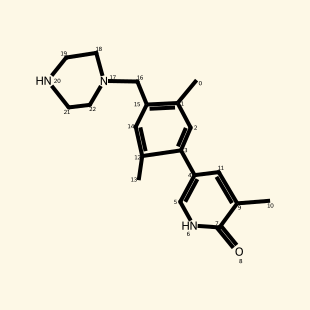 Cc1cc(-c2c[nH]c(=O)c(C)c2)c(C)cc1CN1CCNCC1